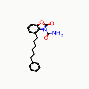 NC(=O)n1c(=O)oc2cccc(CCCCCCc3ccccc3)c21